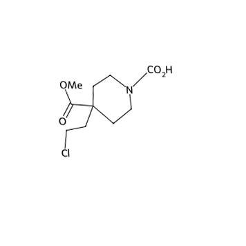 COC(=O)C1(CCCl)CCN(C(=O)O)CC1